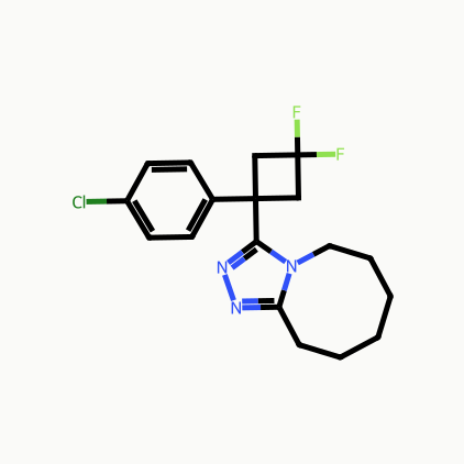 FC1(F)CC(c2ccc(Cl)cc2)(c2nnc3n2CCCCCC3)C1